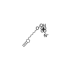 C[N+](C)(C)CCOP(=O)([O-])OC[C@@H](CO)OCCCCCCCCC1CCC2C(C1)C1C3CCC3C21